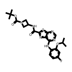 CC(C)Oc1cc(F)ccc1Nc1ncnc2sc(C(=O)NC3CN(C(=O)OC(C)(C)C)C3)nc12